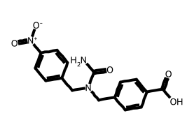 NC(=O)N(Cc1ccc(C(=O)O)cc1)Cc1ccc([N+](=O)[O-])cc1